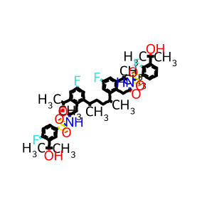 CC(C)c1cc(F)cc(C(C)CCC(C)c2cc(F)cc(C(C)C)c2CC(=O)NS(=O)(=O)c2cccc(C(C)(C)O)c2F)c1CC(=O)NS(=O)(=O)c1ccc(F)c(C(C)(C)O)c1